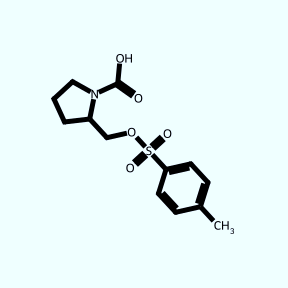 Cc1ccc(S(=O)(=O)OCC2CCCN2C(=O)O)cc1